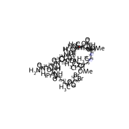 COc1cc2cc(c1Cl)N(C)C(=O)C[C@H](OC(=O)Nc1ccc(NC(=O)[C@H](CCCNC(N)=O)NC(=O)[C@@H](NC(=O)CCCCC(C)OC(=O)C(CBr)CBr)C(C)C)cc1Cl)C(C)[C@@H](O)[C@H](C)[C@@H]1C[C@@](O)(NC(=O)O1)[C@H](OC)/C=C/C=C(\C)C2